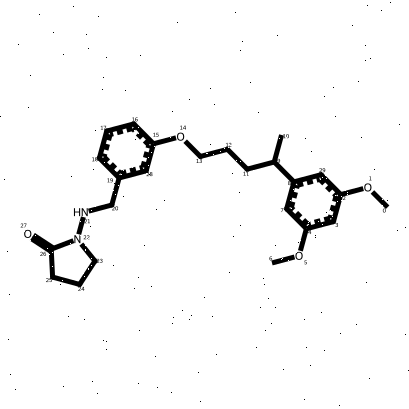 COc1cc(OC)cc(C(C)CCCOc2cccc(CNN3CCCC3=O)c2)c1